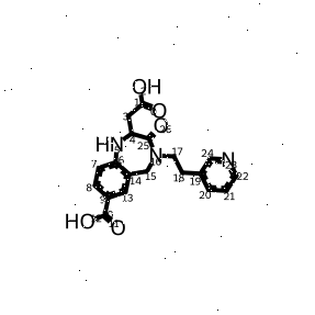 O=C(O)CC1Nc2ccc(C(=O)O)cc2CN(CCc2cccnc2)C1=O